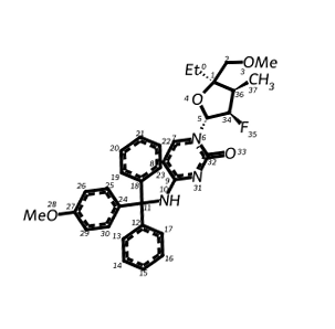 CC[C@@]1(COC)O[C@@H](n2ccc(NC(c3ccccc3)(c3ccccc3)c3ccc(OC)cc3)nc2=O)[C@H](F)[C@@H]1C